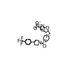 C[C@]1(CN2CCN(C(=O)N3CC=C(c4ccc(C(F)(F)F)cc4)CC3)CC2)Cn2cc([N+](=O)[O-])nc2O1